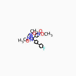 CCOC(=O)N1C=CC(c2c(-c3ccc(-c4ccc(F)cc4)cc3)nc3n2N(C(C)=O)CCN3C(C)=O)C=C1